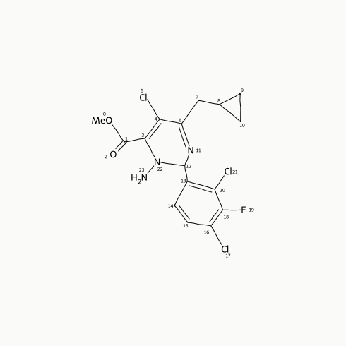 COC(=O)C1=C(Cl)C(CC2CC2)=NC(c2ccc(Cl)c(F)c2Cl)N1N